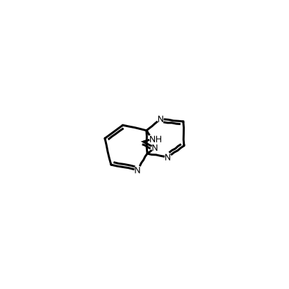 C1=CC23N=CC=NC2(N=C1)N=CN3